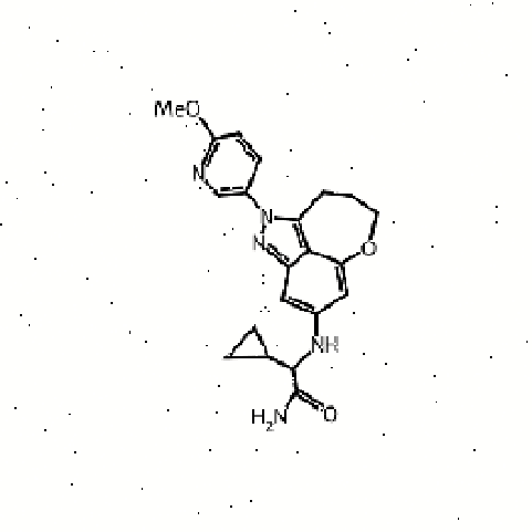 COc1ccc(-n2nc3cc(NC(C(N)=O)C4CC4)cc4c3c2CCCO4)cn1